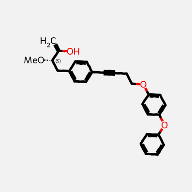 C=C(O)[C@H](Cc1ccc(C#CCCOc2ccc(Oc3ccccc3)cc2)cc1)OC